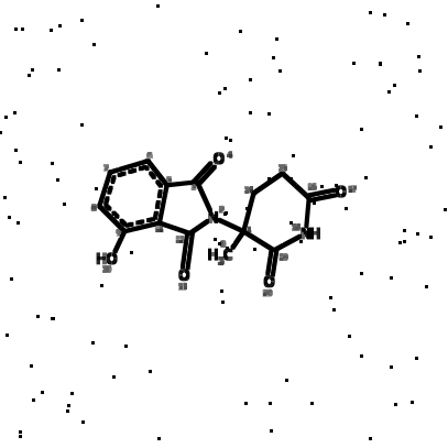 CC1(N2C(=O)c3cccc(O)c3C2=O)CCC(=O)NC1=O